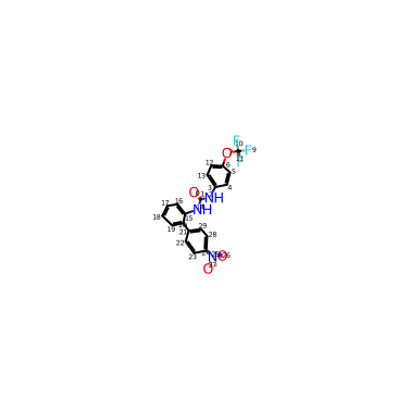 O=C(Nc1ccc(OC(F)(F)F)cc1)Nc1ccccc1-c1ccc([N+](=O)[O-])cc1